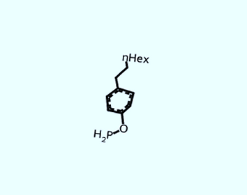 CCCCCCCCc1ccc(OP)cc1